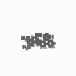 Cc1nc(C)c(CC(=O)O)c(NCc2ccc(-c3ccccc3-c3nnn[nH]3)cc2)n1